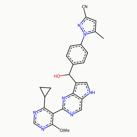 COc1ncnc(C2CC2)c1-c1ncc2[nH]cc(C(O)c3ccc(-n4nc(C#N)cc4C)cc3)c2n1